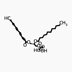 C#CC#CC#CC#CC#CC(=O)OC[C@H](COP(=O)(O)O)OC(=O)CCCCCCCCCCC